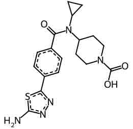 Nc1nnc(-c2ccc(C(=O)N(C3CC3)C3CCN(C(=O)O)CC3)cc2)s1